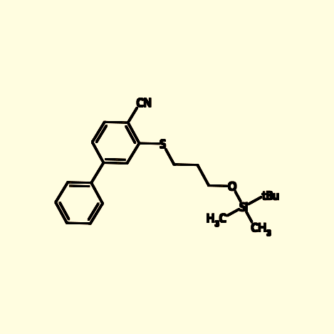 CC(C)(C)[Si](C)(C)OCCCSc1cc(-c2ccccc2)ccc1C#N